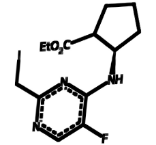 CCOC(=O)C1CCC[C@H]1Nc1nc(CI)ncc1F